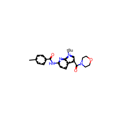 Cc1ccc(C(=O)Nc2ccc3c(C(=O)N4CCOCC4)cn(C(C)(C)C)c3n2)cc1